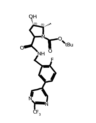 C[C@H]1[C@@H](O)CC(C(=O)NCc2cc(-c3cnc(C(F)(F)F)nc3)ccc2F)N1C(=O)OC(C)(C)C